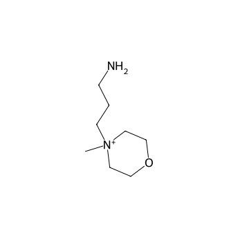 C[N+]1(CCCN)CCOCC1